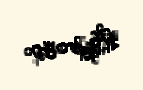 Cn1nc(C2CCC(=O)NC2=O)c2cccc(N3CCC(CN4CCN(c5ncc(Cl)c(Nc6ccc7c(c6)c6c(c(=O)n7C)OCC(F)(F)[C@H](C7CC7)N6)n5)C[C@H]4C(F)(F)F)CC3)c21